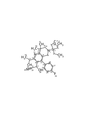 CC[Si](CC)(CC)N1Cc2c(nc(C(C)C)c(C(O)C#N)c2-c2ccc(F)cc2)C(C)(C)C1